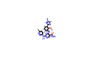 CNC(=O)c1cnc(Nc2ccc(C)nn2)nc1Nc1cccc(-c2ncn(C)n2)c1OC